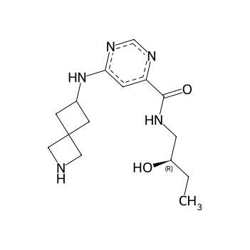 CC[C@@H](O)CNC(=O)c1cc(NC2CC3(CNC3)C2)ncn1